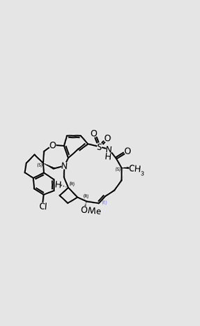 CO[C@H]1/C=C/CC[C@H](C)C(=O)NS(=O)(=O)c2ccc3c(c2)N(C[C@@H]2CCC21)C[C@@]1(CCCc2cc(Cl)ccc21)CO3